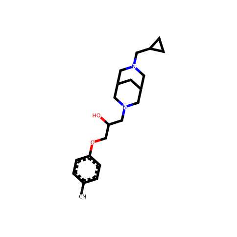 N#Cc1ccc(OCC(O)CN2CC3CC(C2)CN(CC2CC2)C3)cc1